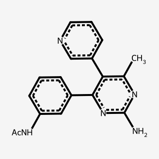 CC(=O)Nc1cccc(-c2nc(N)nc(C)c2-c2cccnc2)c1